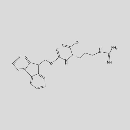 N=C(N)NCCC[C@H](NC(=O)OCC1c2ccccc2-c2ccccc21)C([O])=O